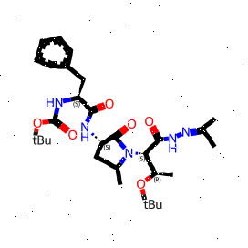 CC(C)=NNC(=O)[C@H]([C@@H](C)OC(C)(C)C)N1C(=O)[C@@H](NC(=O)[C@H](Cc2ccccc2)NC(=O)OC(C)(C)C)CC1C